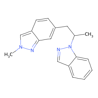 CC(Cc1ccc2cn(C)nc2c1)n1ncc2ccccc21